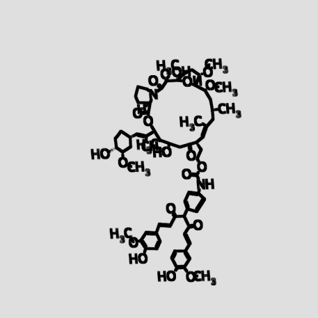 COc1cc(/C=C/C(=O)C(C(=O)/C=C/c2ccc(O)c(OC)c2)c2ccc(NC(=O)OCC[C@@H]3/C=C(\C)C[C@H](C)C[C@H](OC)[C@H]4O[C@@](O)(C(=O)C(=O)N5CCCC[C@H]5C(=O)OC(/C(C)=C/[C@@H]5CC[C@@H](O)[C@H](OC)C5)[C@H](C)C(O)CC3=O)[C@H](C)C[C@@H]4OC)cc2)ccc1O